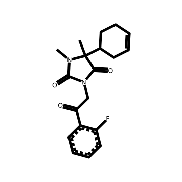 CN1C(=O)N(CC(=O)c2ccccc2F)C(=O)C1(C)C1CC=CCC1